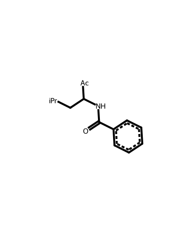 CC(=O)C(CC(C)C)NC(=O)c1ccccc1